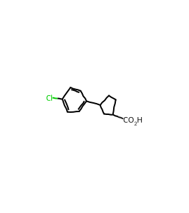 O=C(O)C1CCC(c2ccc(Cl)cc2)C1